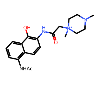 CC(=O)Nc1cccc2c(O)c(NC(=O)C[N+]3(C)CCN(C)CC3)ccc12